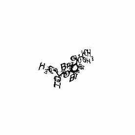 CCC(O)COC(=O)c1c(Br)cc(Br)c(OCC(O)CC)c1Br